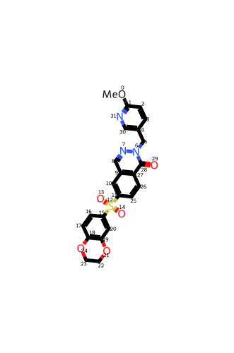 COc1ccc(Cn2ncc3cc(S(=O)(=O)c4ccc5c(c4)OCCO5)ccc3c2=O)cn1